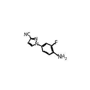 N#Cc1ccn(-c2ccc(N)c(F)c2)n1